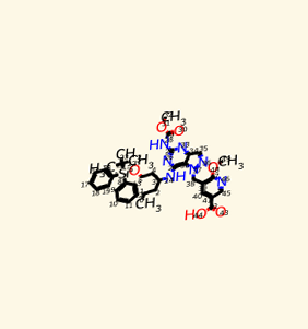 CCCC(CCO[Si](c1ccccc1)(c1ccccc1)C(C)(C)C)Nc1nc(NC(=O)OC)nc2cnn(Cc3cc(C(=O)O)cnc3OC)c12